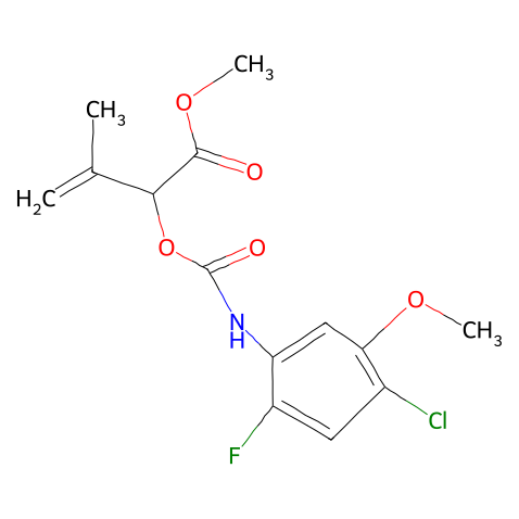 C=C(C)C(OC(=O)Nc1cc(OC)c(Cl)cc1F)C(=O)OC